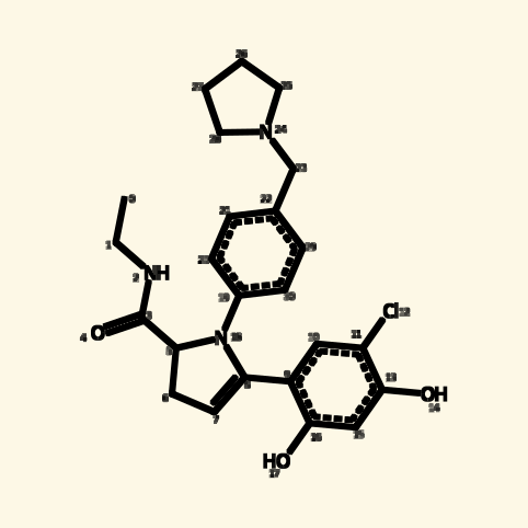 CCNC(=O)C1CC=C(c2cc(Cl)c(O)cc2O)N1c1ccc(CN2CCCC2)cc1